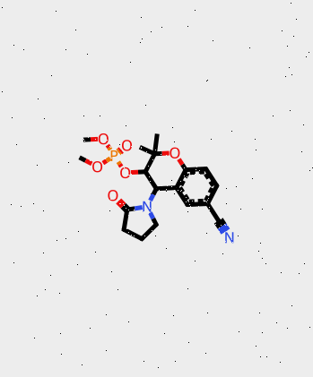 COP(=O)(OC)OC1C(N2CCCC2=O)c2cc(C#N)ccc2OC1(C)C